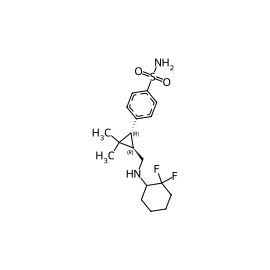 CC1(C)[C@H](CNC2CCCCC2(F)F)[C@H]1c1ccc(S(N)(=O)=O)cc1